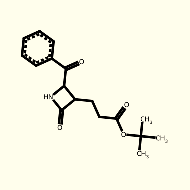 CC(C)(C)OC(=O)CCC1C(=O)NC1C(=O)c1ccccc1